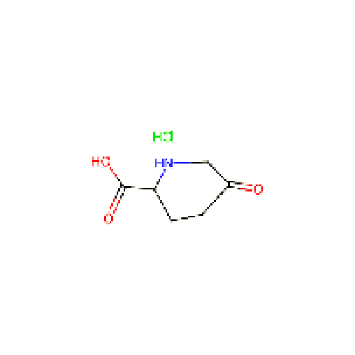 Cl.O=C1CCC(C(=O)O)NC1